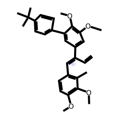 C=C/C(=C\c1ccc(OC)c(OC)c1C)c1cc(OC)c(OC)c(-c2ccc(C(C)(C)C)cc2)c1